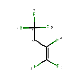 FC(F)=C(F)CC(F)(F)F